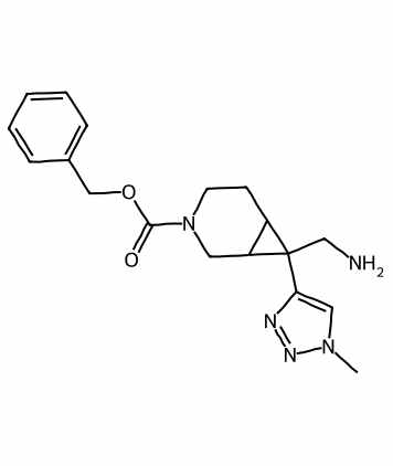 Cn1cc(C2(CN)C3CCN(C(=O)OCc4ccccc4)CC32)nn1